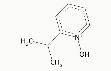 CC(C)c1cccc[n+]1O